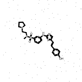 CN(CCN1CCCC1)S(=O)(=O)c1cccc(Nc2ncc(C=Cc3ccc(O)cc3)s2)c1